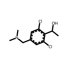 CC(O)c1c(Cl)cc(CN(C)C)cc1Cl